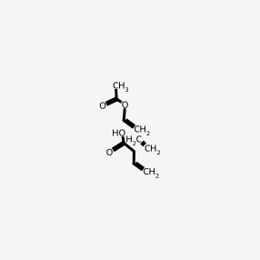 C=C.C=CCC(=O)O.C=COC(C)=O